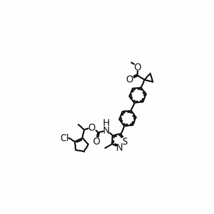 COC(=O)C1(c2ccc(-c3ccc(-c4snc(C)c4NC(=O)OC(C)C4=C(Cl)CCC4)cc3)cc2)CC1